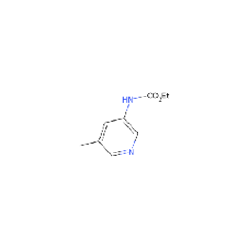 CCOC(=O)Nc1cncc(C)c1